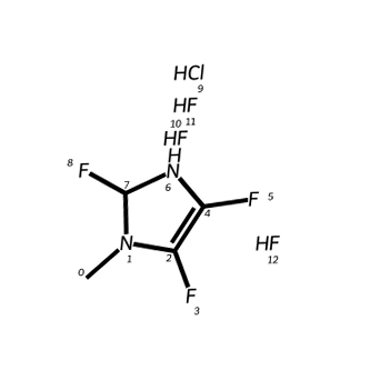 CN1C(F)=C(F)NC1F.Cl.F.F.F